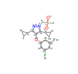 CS(=O)(=O)Cn1nc(C2CC2)c(Oc2cc(F)cc(F)c2)c1C1CC1